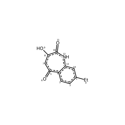 CCc1ccc2c(=O)cc(O)c(=O)[nH]c2c1